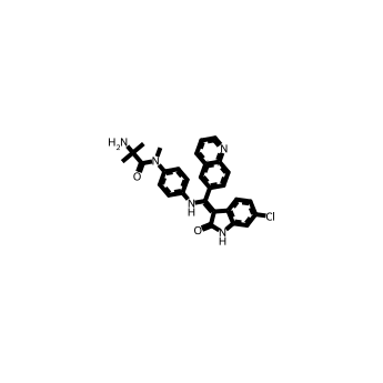 CN(C(=O)C(C)(C)N)c1ccc(N/C(=C2\C(=O)Nc3cc(Cl)ccc32)c2ccc3ncccc3c2)cc1